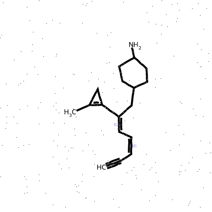 C#C/C=C\C=C(/CC1CCC(N)CC1)C1=C(C)C1